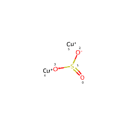 O=S([O-])[O-].[Cu+].[Cu+]